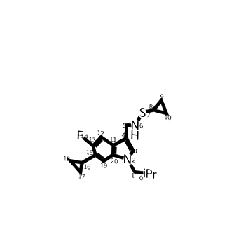 CC(C)Cn1cc(CNSC2CC2)c2cc(F)c(C3CC3)cc21